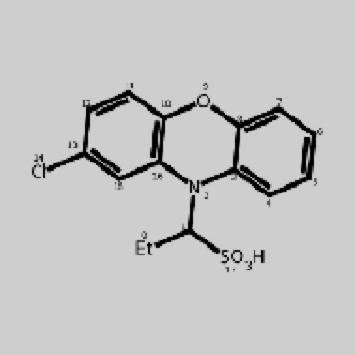 CCC(N1c2ccccc2Oc2ccc(Cl)cc21)S(=O)(=O)O